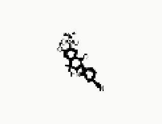 COc1cc2c(cc1S(=O)(=O)N(C)C)C(=O)c1c([nH]c3cc(C#N)ccc13)C2(C)C